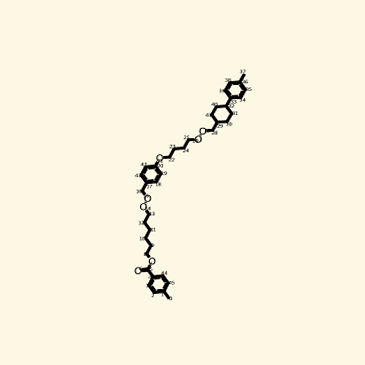 Cc1ccc(C(=O)OCCCCCCOOCc2ccc(OCCCCOOCC3CCC(c4ccc(C)cc4)CC3)cc2)cc1